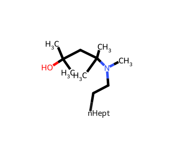 CCCCCCCCCN(C)C(C)(C)CC(C)(C)O